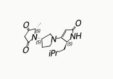 CC(C)C[C@@H]1NC(=O)C=C1N1CC[C@H](N2C(=O)CC(=O)[C@@H]2C)C1